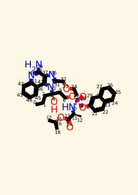 CCC[C@](O)(CCOP(=O)(N[C@@H](C)C(=O)OC(C)C)Oc1ccc2ccccc2c1)n1c(COCC)nc2c(N)nc3ccccc3c21